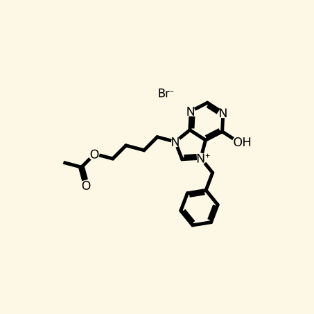 CC(=O)OCCCCn1c[n+](Cc2ccccc2)c2c(O)ncnc21.[Br-]